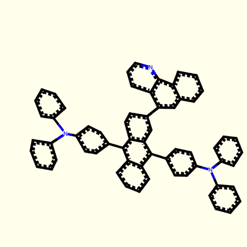 c1ccc(N(c2ccccc2)c2ccc(-c3c4ccccc4c(-c4ccc(N(c5ccccc5)c5ccccc5)cc4)c4cc(-c5cc6ccccc6c6ncccc56)ccc34)cc2)cc1